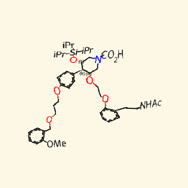 COc1ccccc1COCCCOc1ccc([C@@H]2[C@@H](OCCOc3ccccc3CCNC(C)=O)CN(C(=O)O)C[C@H]2O[Si](C(C)C)(C(C)C)C(C)C)cc1